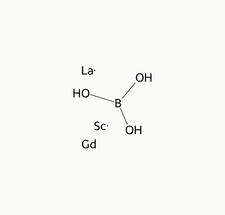 OB(O)O.[Gd].[La].[Sc]